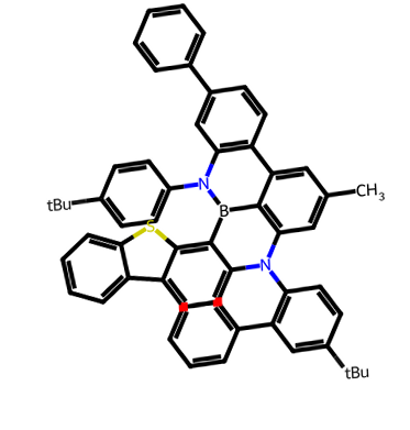 Cc1cc2c3c(c1)N(c1ccc(C(C)(C)C)cc1-c1ccccc1)c1ccc4c(sc5ccccc54)c1B3N(c1ccc(C(C)(C)C)cc1)c1cc(-c3ccccc3)ccc1-2